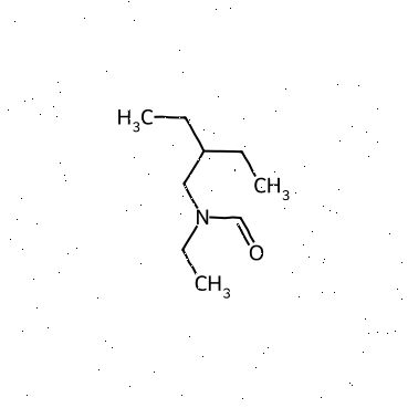 CCC(CC)CN(C=O)CC